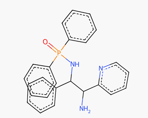 NC(c1ccccn1)C(NP(=O)(c1ccccc1)c1ccccc1)c1ccccc1